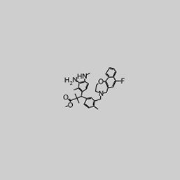 CNc1ccc(C(c2ccc(C)c(CN3CCOc4c(cc(F)c5ccccc45)C3)c2)C(C)(C)C(=O)OC)c(C)c1N